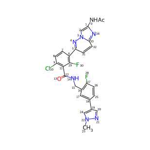 CC(=O)Nc1cn2nc(-c3ccc(Cl)c(C(=O)NCc4cc(-c5cnn(C)c5)ccc4F)c3F)ccc2n1